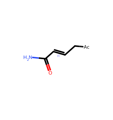 CC(=O)C/C=C/C(N)=O